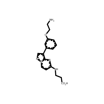 NCCOc1cccc(-c2cnn3ccc(NCCC(=O)O)nc23)c1